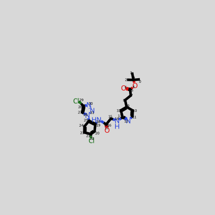 CC(C)(C)OC(=O)CCc1ccnc(NCC(=O)Nc2cc(Cl)ccc2-n2cc(Cl)nn2)c1